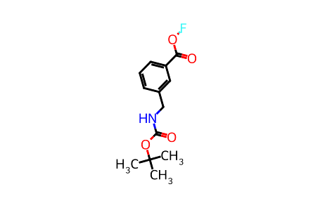 CC(C)(C)OC(=O)NCc1cccc(C(=O)OF)c1